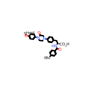 CCCCCCCOc1ccc(N2CCN(c3ccc(C[C@H](NC(=O)c4ccc(C(C)(C)C)cc4)C(=O)O)cc3)CC2=O)cc1